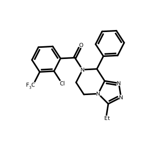 CCc1nnc2n1CCN(C(=O)c1cccc(C(F)(F)F)c1Cl)C2c1ccccc1